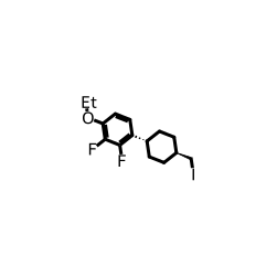 CCOc1ccc([C@H]2CC[C@H](CI)CC2)c(F)c1F